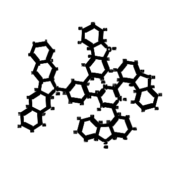 c1ccc2cc3c(cc2c1)c1cc2ccccc2cc1n3-c1ccc(-c2nc(-c3cccc4sc5ccccc5c34)nc(-c3cccc4sc5ccccc5c34)n2)c(-c2ccc3oc4ccccc4c3c2)c1